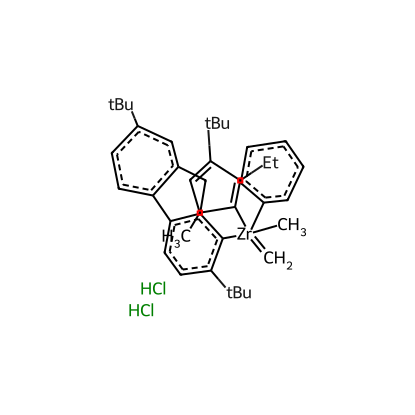 Cl.Cl.[CH2]=[Zr]([CH3])([C]1=C(CC)C(C(C)(C)C)=CC1C)([c]1ccccc1)[c]1c(C(C)(C)C)ccc2c1Cc1cc(C(C)(C)C)ccc1-2